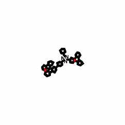 c1ccc(-c2nc(-c3ccc(-c4ccc5c(c4)C4(c6ccccc6-c6ccccc64)c4ccccc4-5)cc3)nc(-c3ccc4c5ccccc5c5ccccc5c4c3)n2)cc1